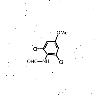 COc1cc(Cl)c(NC=O)c(Cl)c1